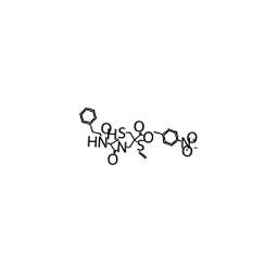 C=CSC1(C(=O)OCc2ccc([N+](=O)[O-])cc2)CS[C@@H]2C(NC(=O)Cc3ccccc3)C(=O)N2C1